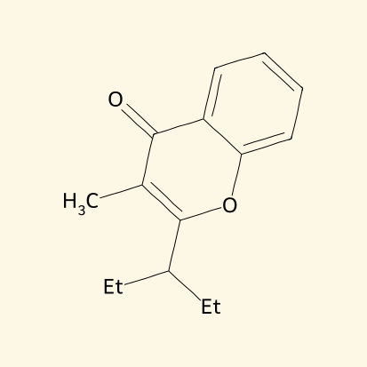 CCC(CC)c1oc2ccccc2c(=O)c1C